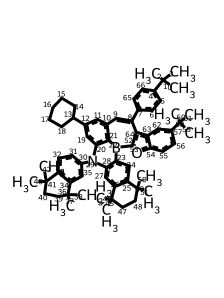 CC(C)(C)c1ccc(C2=Cc3cc(C4CCCCC4)cc4c3B(c3cc5c(cc3N4c3ccc4c(c3)C(C)(C)CCC4(C)C)C(C)(C)CCC5(C)C)c3oc4ccc(C(C)(C)C)cc4c32)cc1